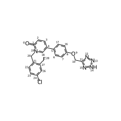 O=c1ccc(-c2ccc(OCc3nn[nH]n3)cc2)cn1Cc1ccc(Cl)cc1F